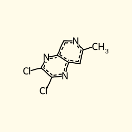 Cc1cc2nc(Cl)c(Cl)nc2cn1